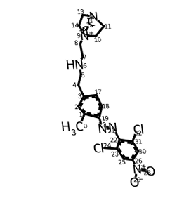 Cc1cc(CCNCC[N+]23CCN(CC2)CC3)ccc1N=Nc1c(Cl)cc([N+](=O)[O-])cc1Cl